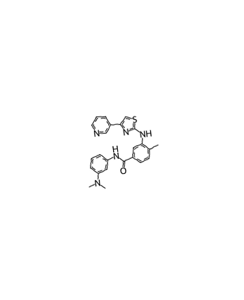 Cc1ccc(C(=O)Nc2cccc(N(C)C)c2)cc1Nc1nc(-c2cccnc2)cs1